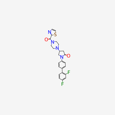 O=C(c1nccs1)N1CCN(C2CC(=O)N(c3ccc(-c4ccc(F)cc4F)cc3)C2)CC1